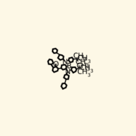 CC(C)(C)c1ccc2c(c1)B1c3cc(C(C)(C)C)ccc3N(c3ccc(-c4ccccc4)cc3)c3cc(-c4cccc5c4oc4ccccc45)cc(c31)N2c1ccc(-c2ccccc2)cc1